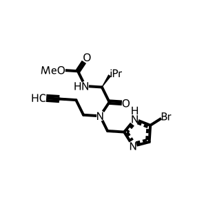 C#CCCN(Cc1ncc(Br)[nH]1)C(=O)[C@@H](NC(=O)OC)C(C)C